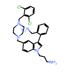 NCCCn1cc(-c2ccccc2CN)c2cc(CN3CCN(Cc4c(Cl)cccc4Cl)CC3)ccc21